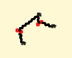 CCC(CCCCCCCCCCCC(=O)OCCCCCC(C)C)CCC(=O)OCCCCCC(C)C